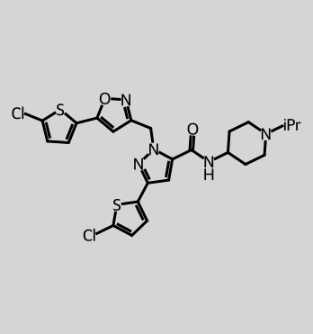 CC(C)N1CCC(NC(=O)c2cc(-c3ccc(Cl)s3)nn2Cc2cc(-c3ccc(Cl)s3)on2)CC1